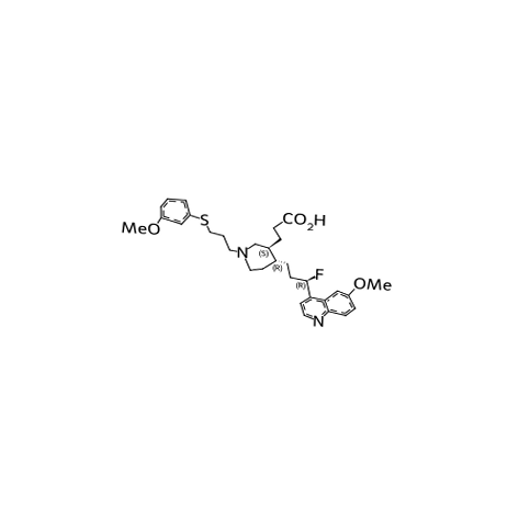 COc1cccc(SCCCN2CC[C@@H](CC[C@@H](F)c3ccnc4ccc(OC)cc34)[C@H](CCC(=O)O)C2)c1